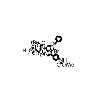 COC(=O)Nc1ccc(-c2cn(COCC[Si](C)(C)C)c([C@H](CC(=O)OCc3ccccc3)NC(=O)OC(C)(C)C)n2)c(Br)c1